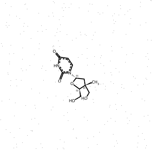 C[C@]1(CO)C[C@@H](n2ccc(=O)[nH]c2=O)O[C@@H]1CO